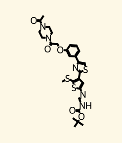 CSc1sc(N=CNC(=O)OC(C)(C)C)cc1-c1nc(-c2cccc(OCC(=O)N3CCN(C(C)=O)CC3)c2)cs1